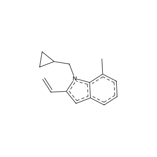 C=Cc1cc2cccc(C)c2n1CC1CC1